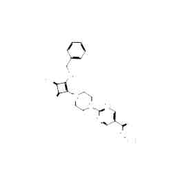 O=C(NO)c1cnc(N2CCN(c3c(NCc4ccccc4)c(=O)c3=O)CC2)nc1